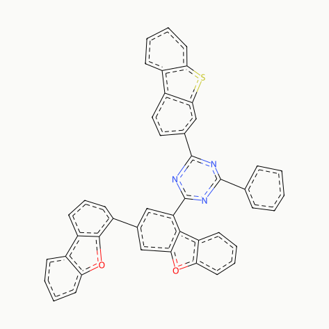 c1ccc(-c2nc(-c3ccc4c(c3)sc3ccccc34)nc(-c3cc(-c4cccc5c4oc4ccccc45)cc4oc5ccccc5c34)n2)cc1